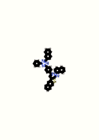 c1ccc(-c2nc(-c3ccc(-c4cc5c6cc7ccccc7cc6sc5c5nc6c7ccccc7ccc6n45)cc3)nc(-c3ccc4ccccc4c3)n2)cc1